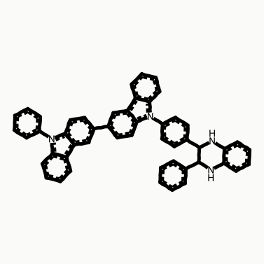 c1ccc(C2Nc3ccccc3NC2c2ccc(-n3c4ccccc4c4cc(-c5ccc6c(c5)c5ccccc5n6-c5ccccc5)ccc43)cc2)cc1